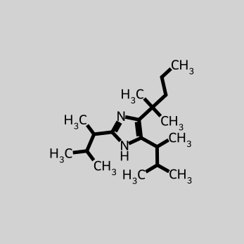 CCCC(C)(C)c1nc(C(C)C(C)C)[nH]c1C(C)C(C)C